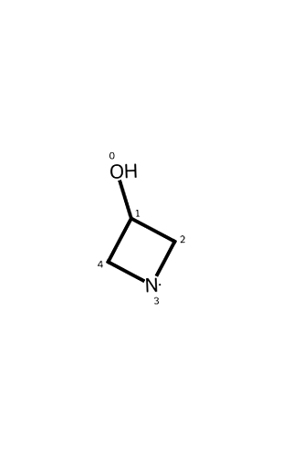 OC1C[N]C1